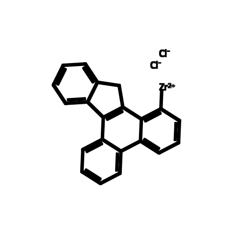 [Cl-].[Cl-].[Zr+2][c]1cccc2c1c1c(c3ccccc32)-c2ccccc2C1